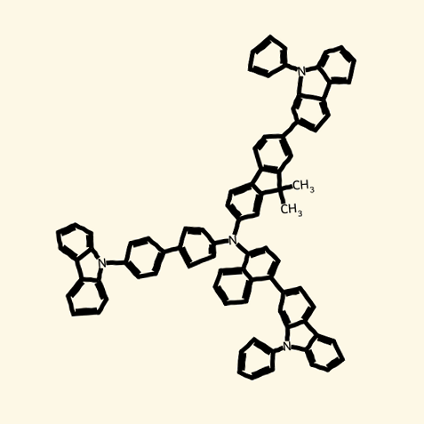 CC1(C)c2cc(-c3ccc4c5ccccc5n(-c5ccccc5)c4c3)ccc2-c2ccc(N(c3ccc(-c4ccc(-n5c6ccccc6c6ccccc65)cc4)cc3)c3ccc(-c4ccc5c6ccccc6n(-c6ccccc6)c5c4)c4ccccc34)cc21